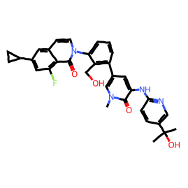 Cn1cc(-c2cccc(-n3ccc4cc(C5CC5)cc(F)c4c3=O)c2CO)cc(Nc2ccc(C(C)(C)O)cn2)c1=O